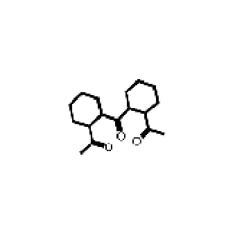 CC(=O)C1CCCCC1C(=O)C1CCCCC1C(C)=O